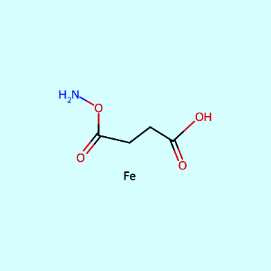 NOC(=O)CCC(=O)O.[Fe]